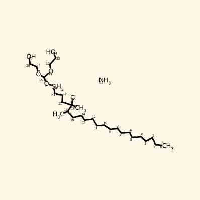 CCCCCCCCCCCCCCCCC(C)C(C)(Cl)CCC[SiH2]OC(OCCO)OCCO.N